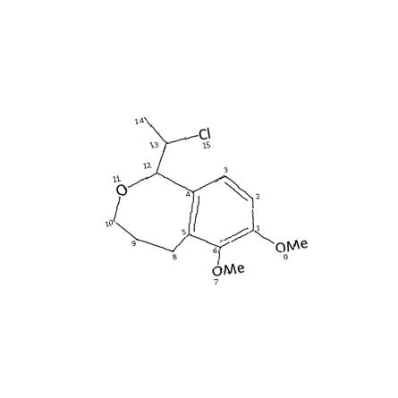 COc1ccc2c(c1OC)CCCOC2C(C)Cl